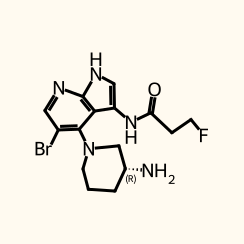 N[C@@H]1CCCN(c2c(Br)cnc3[nH]cc(NC(=O)CCF)c23)C1